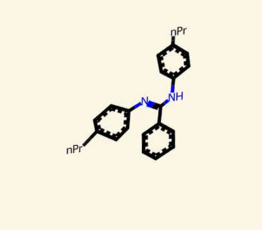 CCCc1ccc(/N=C(/Nc2ccc(CCC)cc2)c2ccccc2)cc1